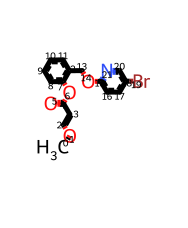 COC=CC(=O)Oc1ccccc1COc1ccc(Br)cn1